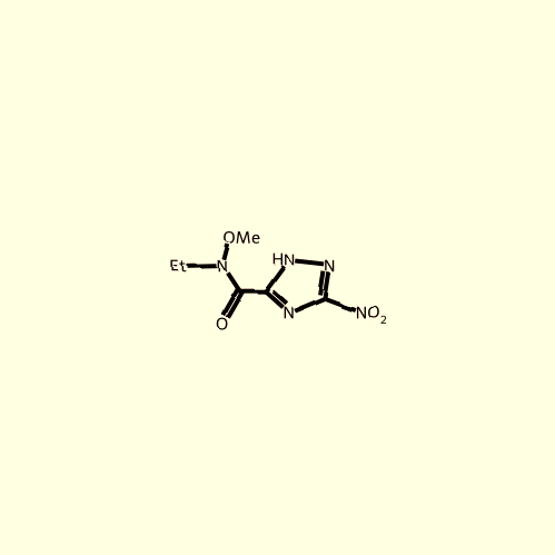 CCN(OC)C(=O)c1nc([N+](=O)[O-])n[nH]1